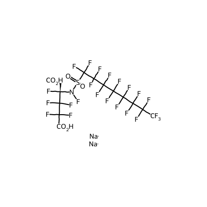 O=C(O)C(F)(F)C(F)(F)[C@@](F)(C(=O)O)N(F)S(=O)(=O)C(F)(F)C(F)(F)C(F)(F)C(F)(F)C(F)(F)C(F)(F)C(F)(F)C(F)(F)F.[Na].[Na]